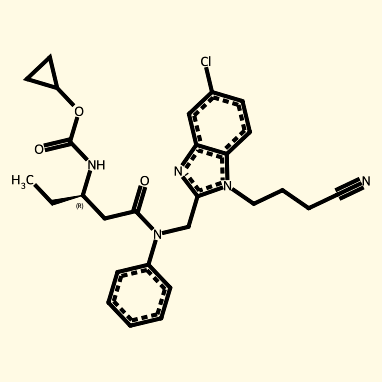 CC[C@H](CC(=O)N(Cc1nc2cc(Cl)ccc2n1CCCC#N)c1ccccc1)NC(=O)OC1CC1